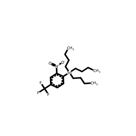 CCC[CH2][Sn]([CH2]CCC)([CH2]CCC)[c]1ccc(C(F)(F)F)cc1[N+](=O)[O-]